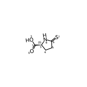 O=C(O)[C@@H]1CCC(=S)N1